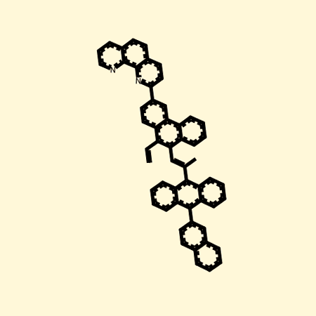 C=Cc1c(/C=C(\C)c2c3ccccc3c(-c3ccc4ccccc4c3)c3ccccc23)c2ccccc2c2cc(-c3ccc4ccc5cccnc5c4n3)ccc12